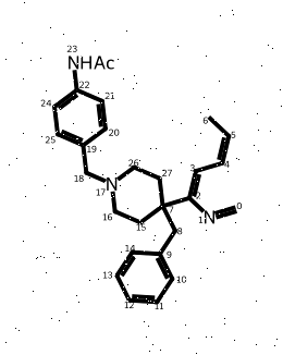 C=N/C(=C\C=C/C)C1(Cc2ccccc2)CCN(Cc2ccc(NC(C)=O)cc2)CC1